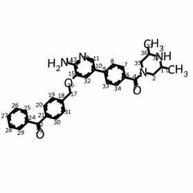 CC1CN(C(=O)c2ccc(-c3cnc(N)c(OCc4ccc(C(=O)c5ccccc5)cc4)c3)cc2)CC(C)N1